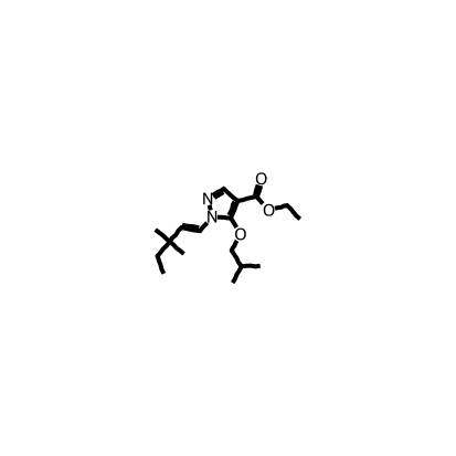 CCOC(=O)c1cnn(/C=C/C(C)(C)CC)c1OCC(C)C